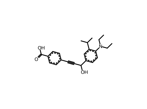 CCN(CC)c1ccc(C(O)C#Cc2ccc(C(=O)O)cc2)cc1C(C)C